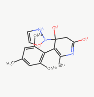 CCCCC1=C(c2c(OC)cc(C)cc2OC)C(O)(N2NC=CO2)CC(O)=N1